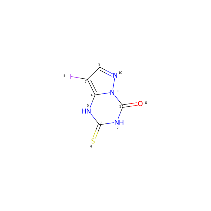 O=c1[nH]c(=S)[nH]c2c(I)cnn12